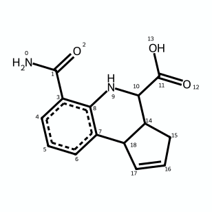 NC(=O)c1cccc2c1NC(C(=O)O)C1CC=CC21